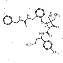 CCC[C@@H](NC(=O)N1C(=O)C(CC)(CC)[C@@H]1Oc1ccccc1CNC(=O)NCc1ccccc1)c1ccc(C)cc1